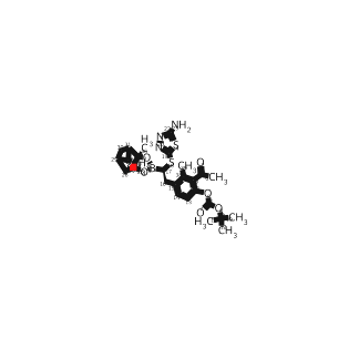 CC(=O)c1c(OC(=O)OC(C)(C)C)ccc(C[C@H](Sc2nnc(N)s2)B2OC3CC4CC(C4(C)C)[C@]3(C)O2)c1C